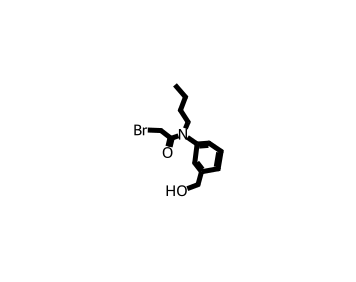 CCCCN(C(=O)CBr)c1cccc(CO)c1